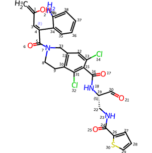 C=C(O)/C=C(/C(=O)N1CCc2c(cc(Cl)c(C(=O)N[C@H](C=O)CNC(=O)c3cccs3)c2Cl)C1)c1ccccc1N